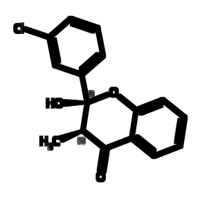 C[C@@H]1C(=O)c2ccccc2O[C@@]1(O)c1cccc(Cl)c1